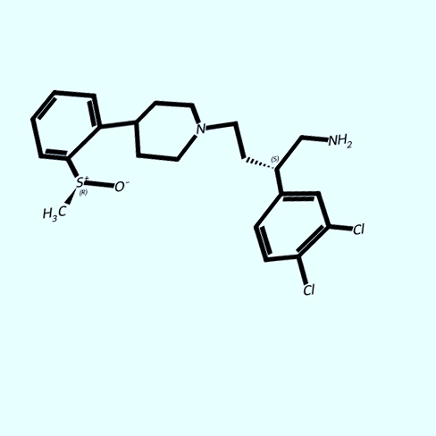 C[S@+]([O-])c1ccccc1C1CCN(CC[C@H](CN)c2ccc(Cl)c(Cl)c2)CC1